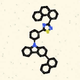 c1cc(-c2nc(-c3cccc4ccc5ccccc5c34)ns2)cc(-n2c3ccccc3c3cc(-c4cccc5ccccc45)ccc32)c1